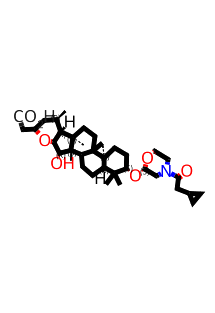 C[C@@H]1CC(CC(=O)O)OC2[C@H]1[C@@]1(C)CCC34C[C@@]35CC[C@H](O[C@H]3CN(C(=O)CC6CC6)CCO3)C(C)(C)[C@@H]5CCC4[C@]1(C)[C@H]2O